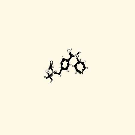 CN(C(=O)c1ccc(CN2C(=O)OC2(C)C)cc1)c1ccncc1